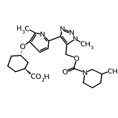 Cc1nc(-c2nnn(C)c2COC(=O)N2CCCC(C)C2)ccc1O[C@H]1CCC[C@H](C(=O)O)C1